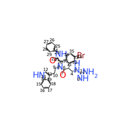 N=C(N)NCCC(=O)N(CCc1c[nH]c2ccccc12)C(C(=O)Nc1ccccc1)c1ccc(Br)cc1